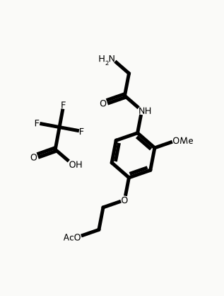 COc1cc(OCCOC(C)=O)ccc1NC(=O)CN.O=C(O)C(F)(F)F